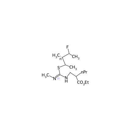 CCCC(CN/C(=N/C)SC(C)[C@H](C)C(C)F)C(=O)OCC